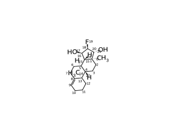 C[C@]12CC[C@H]3[C@@H](CCC4=CCCC[C@@]43C)[C@@H]1[C@@H](O)[C@@H](F)[C@@H]2O